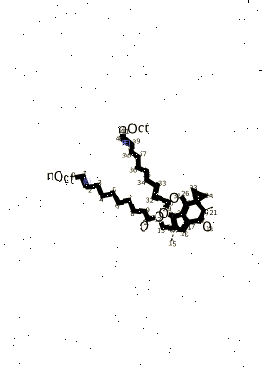 CCCCCCCC/C=C/CCCCCCCC(=O)OC[C@]1(C)C=C2C(=O)[C@@H](C)C3(CC3)C(C)=C2C1OC(=O)CCCCCCC/C=C/CCCCCCCC